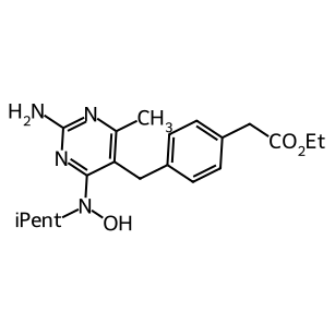 CCCC(C)N(O)c1nc(N)nc(C)c1Cc1ccc(CC(=O)OCC)cc1